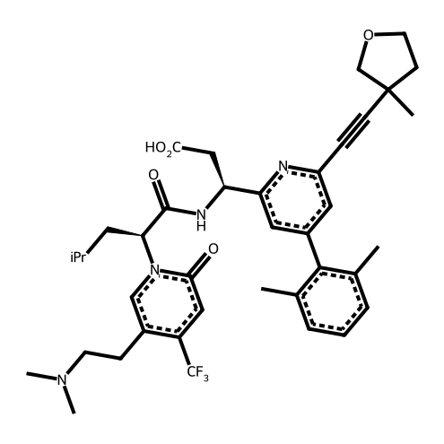 Cc1cccc(C)c1-c1cc(C#CC2(C)CCOC2)nc([C@H](CC(=O)O)NC(=O)[C@H](CC(C)C)n2cc(CCN(C)C)c(C(F)(F)F)cc2=O)c1